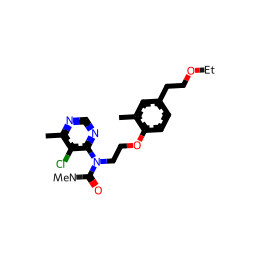 CCOCCc1ccc(OCCN(C(=O)NC)c2ncnc(C)c2Cl)c(C)c1